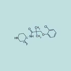 CC(C)(COc1ccccc1Cl)C(=O)N[C@H]1CCNC[C@@H]1F